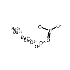 [Ba+2].[Ba+2].[Ba+2].[Ba+2].[O-2].[O-2].[O-2].[O]=[Ti]([O-])[O-]